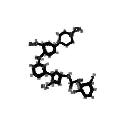 COc1cc(N2CCN(C)CC2)ccc1Nc1nccc(-c2cc(OC(=O)Nc3c(F)cccc3F)cn2C)n1